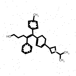 Cc1ccc(/C(C2=CC=C(C3CN(C(C)C)C3)CC2)=C(\CCCO)c2ccccc2)cc1